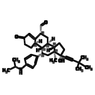 CC(C)Nc1ccc([C@H]2C[C@@]3(C)[C@@H](CC[C@@]3(O)C#CC(C)(C)C)[C@@H]3C[C@@H](C=O)C4=CC(=O)CC[C@@H]4[C@H]32)cc1